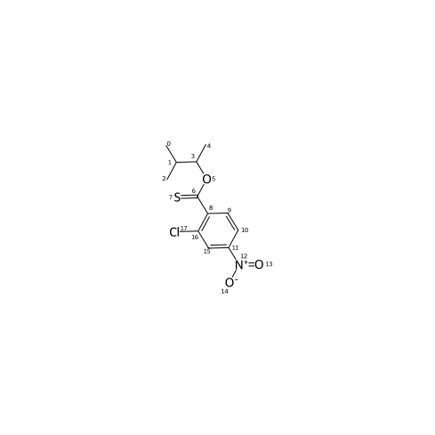 CC(C)C(C)OC(=S)c1ccc([N+](=O)[O-])cc1Cl